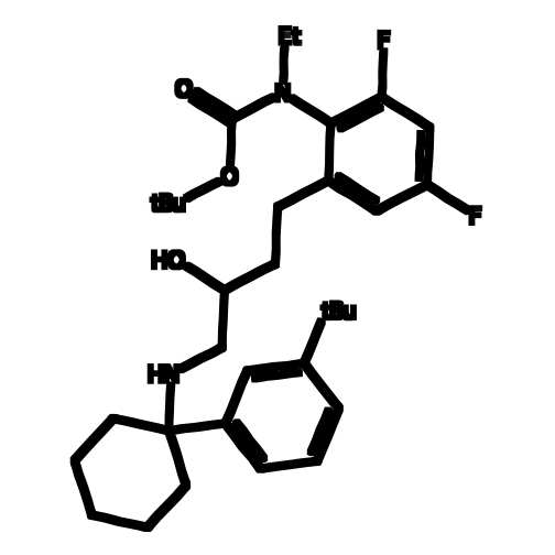 CCN(C(=O)OC(C)(C)C)c1c(F)cc(F)cc1CCC(O)CNC1(c2cccc(C(C)(C)C)c2)CCCCC1